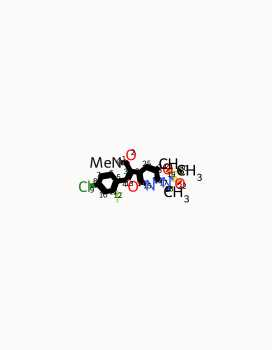 CNC(=O)c1c(-c2ccc(Cl)cc2F)oc2nc(N(C)S(C)(=O)=O)c(C)cc12